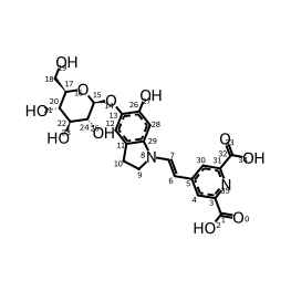 O=C(O)c1cc(/C=C/N2CCc3cc(O[C@@H]4O[C@H](CO)[C@@H](O)[C@H](O)[C@H]4O)c(O)cc32)cc(C(=O)O)n1